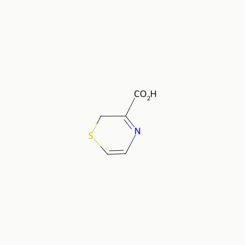 O=C(O)C1=NC=CSC1